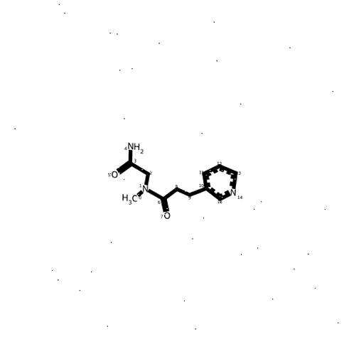 CN(CC(N)=O)C(=O)CCc1cccnc1